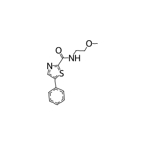 COCCNC(=O)c1ncc(-c2ccccc2)s1